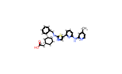 Cc1ccnc(Nc2cccc(-c3cnc(N(Cc4ccccc4)[C@H]4CC[C@H](CC(=O)O)CC4)s3)n2)c1